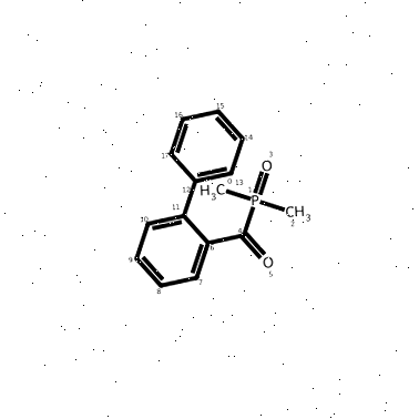 CP(C)(=O)C(=O)c1ccccc1-c1ccccc1